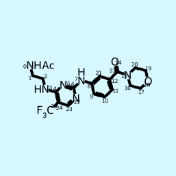 CC(=O)NCCNc1nc(Nc2cccc(C(=O)N3CCOCC3)c2)ncc1C(F)(F)F